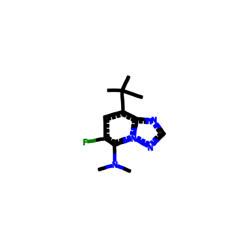 CN(C)c1c(F)cc(C(C)(C)C)c2ncnn12